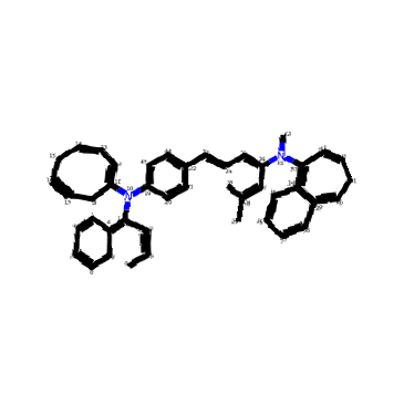 C/C=C\C(=C1\C=CC=CC1)N(/C1=C/C=C\CC#CC1)c1ccc(/C=C/C=C(\C=C(C)C)N(C)C2=c3ccccc3=CCC=C2)cc1